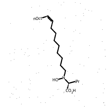 CCCCCCCC/C=C\CCCCCCCCN(O)[C@H](C(=O)O)C(C)C